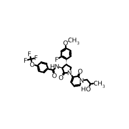 COc1ccc([C@@H]2CN(c3cccn(CC(C)O)c3=O)C(=O)[C@H]2NC(=O)c2ccc(OC(F)(F)F)cc2)c(F)c1